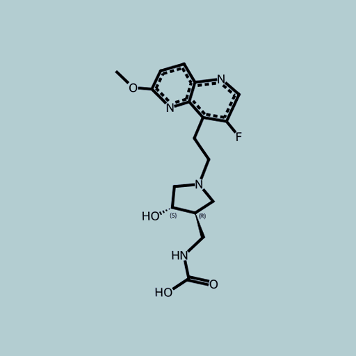 COc1ccc2ncc(F)c(CCN3C[C@@H](CNC(=O)O)[C@H](O)C3)c2n1